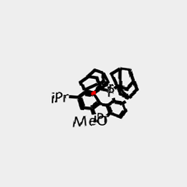 COc1ccc(C)c(P(C23CC4CC(CC(C4)C2)C3)C23CC4CC(CC(C4)C2)C3)c1-c1c(C(C)C)cc(C(C)C)cc1C(C)C